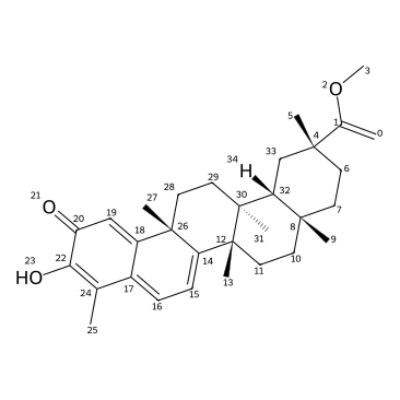 C=C(OC)[C@]1(C)CC[C@]2(C)CC[C@]3(C)C4=CC=C5C(=CC(=O)C(O)=C5C)[C@]4(C)CC[C@@]3(C)[C@@H]2C1